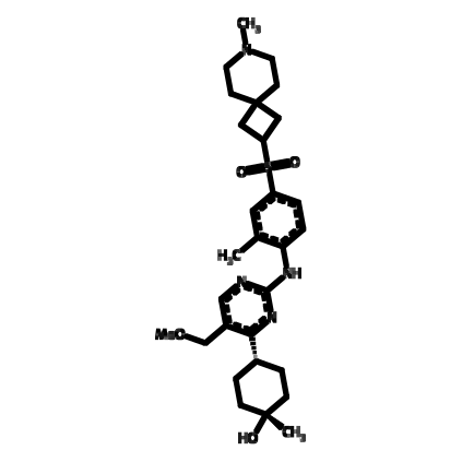 COCc1cnc(Nc2ccc(S(=O)(=O)C3CC4(CCN(C)CC4)C3)cc2C)nc1[C@H]1CC[C@@](C)(O)CC1